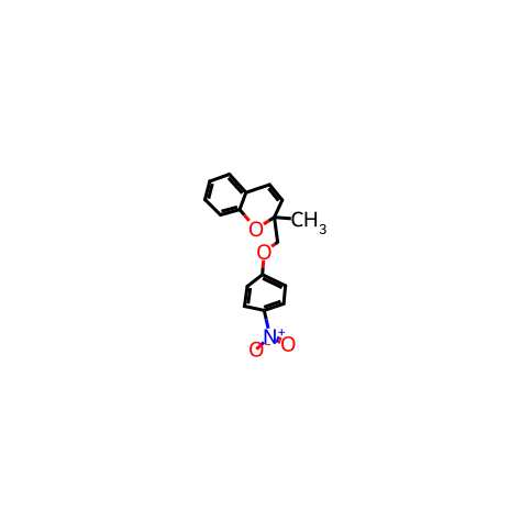 CC1(COc2ccc([N+](=O)[O-])cc2)C=Cc2ccccc2O1